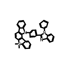 C[Si]1(C)c2ccccc2-c2c1ccc1c3ccccc3n(-c3ccc(-c4nc5ccccc5n4-c4ccccc4)cc3)c21